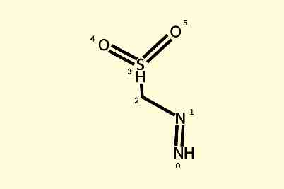 N=NC[SH](=O)=O